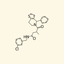 CC(CC(=O)NCc1cccc(Cl)c1)C(=O)N1CCc2sccc2C1c1ccccc1